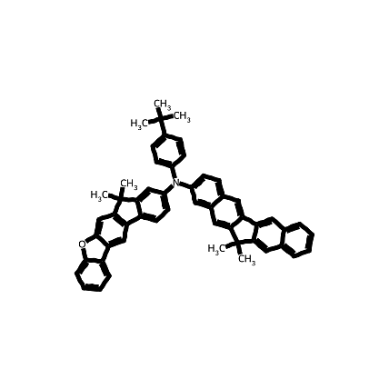 CC(C)(C)c1ccc(N(c2ccc3c(c2)C(C)(C)c2cc4oc5ccccc5c4cc2-3)c2ccc3cc4c(cc3c2)C(C)(C)c2cc3ccccc3cc2-4)cc1